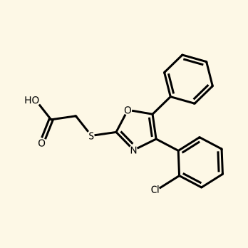 O=C(O)CSc1nc(-c2ccccc2Cl)c(-c2ccccc2)o1